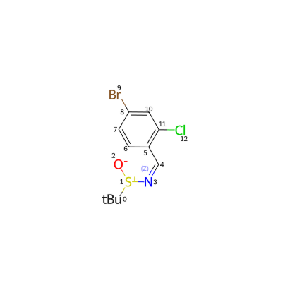 CC(C)(C)[S+]([O-])/N=C\c1ccc(Br)cc1Cl